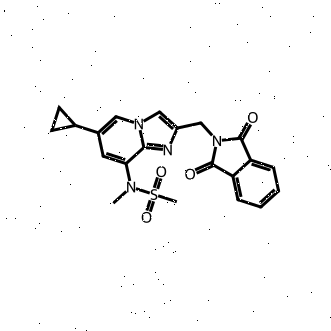 CN(c1cc(C2CC2)cn2cc(CN3C(=O)c4ccccc4C3=O)nc12)S(C)(=O)=O